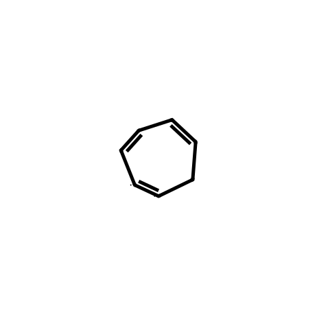 [C]1=[C]CC=CC=C1